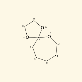 C1CCOC2(CC1)OCCO2